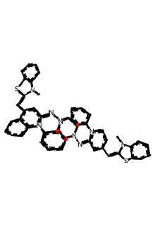 CN1/C(=C\c2ccn(-c3ccccc3)/c(=N\N3CCN(/N=c4/cc(/C=C5/Sc6ccccc6N5C)c5ccccc5n4-c4ccccc4)CC3)c2)Sc2ccccc21